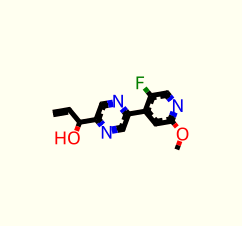 C=CC(O)c1cnc(-c2cc(OC)ncc2F)cn1